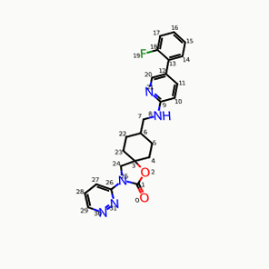 O=C1OC2(CCC(CNc3ccc(-c4ccccc4F)cn3)CC2)CN1c1cccnn1